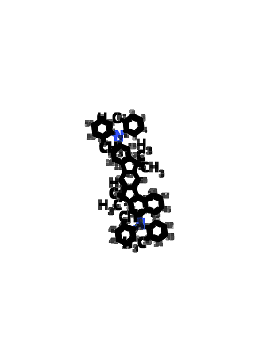 Cc1ccccc1N(c1ccc2c(c1)C(C)(C)C1C=C3C(=CC21)C(C)(C)c1cc(N(c2ccccc2C)c2ccccc2C)c2ccccc2c13)c1ccccc1C